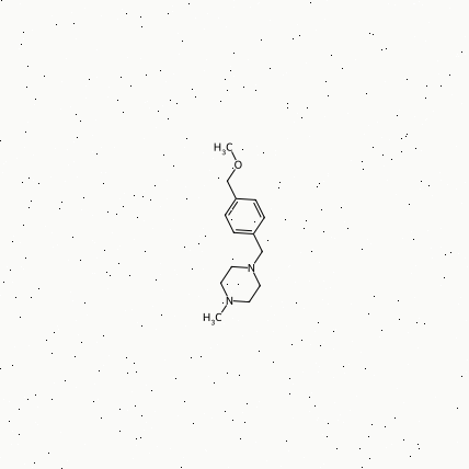 COCc1ccc(CN2CCN(C)CC2)cc1